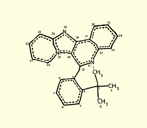 CC(C)(C)c1ccccc1-c1nc2ccccc2c2nc3ccccn3c12